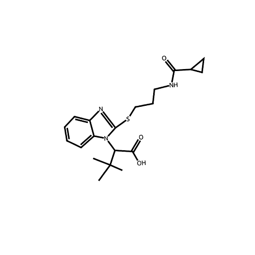 CC(C)(C)C(C(=O)O)n1c(SCCCNC(=O)C2CC2)nc2ccccc21